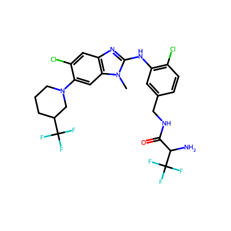 Cn1c(Nc2cc(CNC(=O)C(N)C(F)(F)F)ccc2Cl)nc2cc(Cl)c(N3CCCC(C(F)(F)F)C3)cc21